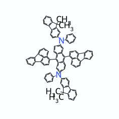 CC1(C)c2ccccc2-c2ccc(N(c3ccccc3)c3ccc4c(-c5ccc6c7c(cccc57)-c5ccccc5-6)c5cc(N(c6ccccc6)c6ccc7c(c6)C(C)(C)c6ccccc6-7)ccc5c(-c5ccc6c7c(cccc57)-c5ccccc5-6)c4c3)cc21